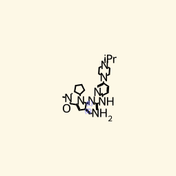 C=C(/N=C1\C(=C/N)C=C(C(=O)N(C)C)N1C1CCCC1)Nc1ccc(N2CCN(C(C)C)CC2)cn1